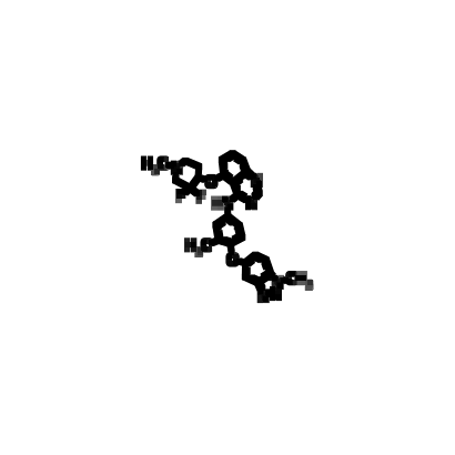 Cc1cc(Nc2ncnc3cccc(OC4CCN(C)CC4(F)F)c23)ccc1Oc1ccc2c(c1)nnn2C